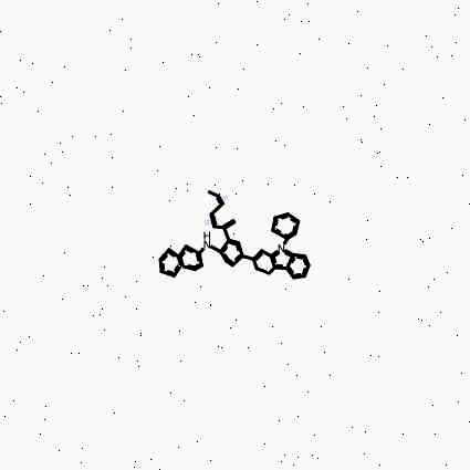 C=C(/C=C\C=C/C)c1cc(C2=Cc3c(c4ccccc4n3-c3ccccc3)CC2)ccc1Nc1ccc2ccccc2c1